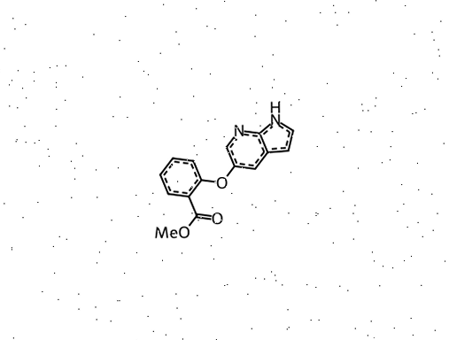 COC(=O)c1ccccc1Oc1cnc2[nH]ccc2c1